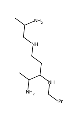 CC(C)CNC(CCNCC(C)N)C(C)N